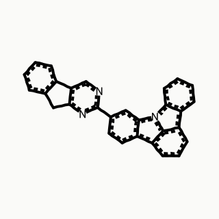 c1ccc2c(c1)Cc1nc(-c3ccc4c5cccc6c7ccccc7n(c4c3)c65)ncc1-2